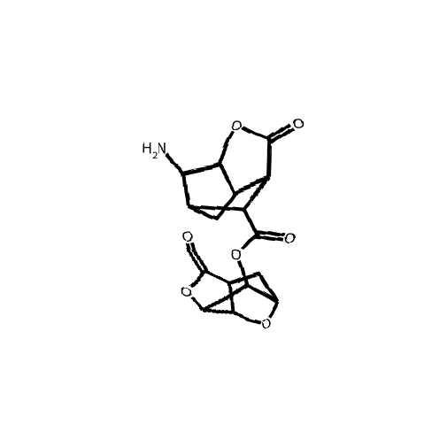 NC1C2CC3C1OC(=O)C3C2C(=O)OC1C2CC3C(=O)OC1C3O2